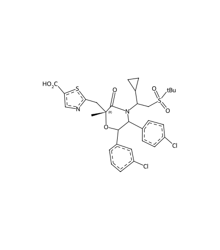 CC(C)(C)S(=O)(=O)CC(C1CC1)N1C(=O)[C@@](C)(Cc2ncc(C(=O)O)s2)OC(c2cccc(Cl)c2)C1c1ccc(Cl)cc1